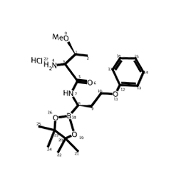 CO[C@@H](C)C(N)C(=O)N[C@@H](CCOc1ccccc1)B1OC(C)(C)C(C)(C)O1.Cl